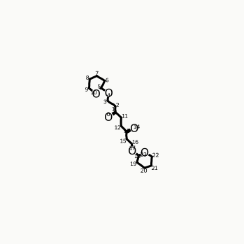 O=C(CCOC1CCCCO1)CCC(=O)CCOC1CCCCO1